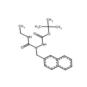 CCNC(=O)N(Cc1ccc2ccccc2c1)NC(=O)OC(C)(C)C